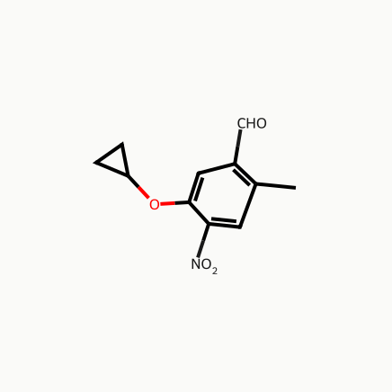 Cc1cc([N+](=O)[O-])c(OC2CC2)cc1C=O